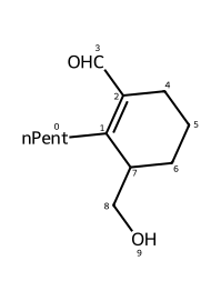 CCCCCC1=C(C=O)CCCC1CO